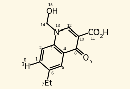 [3H]c1cc2c(cc1CC)c(=O)c(C(=O)O)cn2CO